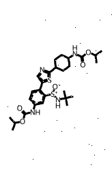 CC(C)OC(=O)Nc1ccc(-c2cnc(C3CCC(NC(=O)OC(C)C)CC3)s2)c([S+]([O-])NC(C)(C)C)c1